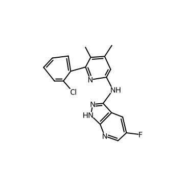 Cc1cc(Nc2n[nH]c3ncc(F)cc23)nc(-c2ccccc2Cl)c1C